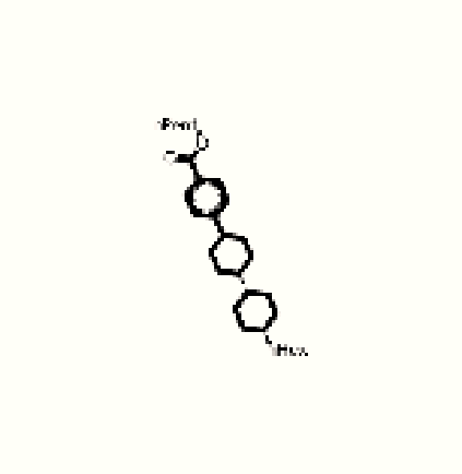 CCCCCC[C@H]1CC[C@H](C2CCC(c3ccc(C(=O)OCCCCC)cc3)CC2)CC1